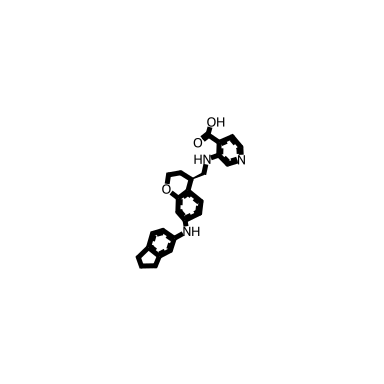 O=C(O)c1ccncc1NC[C@@H]1CCOc2cc(Nc3ccc4c(c3)CCC4)ccc21